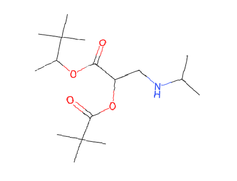 CC(C)NCC(OC(=O)C(C)(C)C)C(=O)OC(C)C(C)(C)C